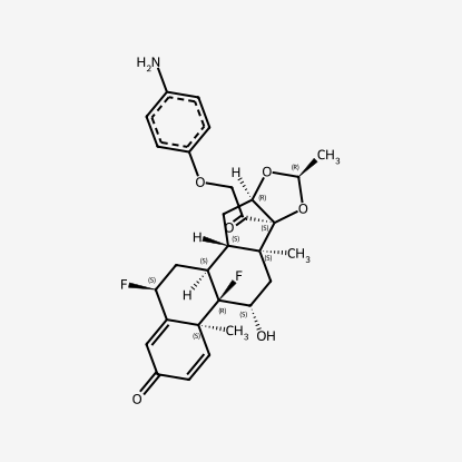 C[C@@H]1O[C@@H]2C[C@H]3[C@@H]4C[C@H](F)C5=CC(=O)C=C[C@]5(C)[C@@]4(F)[C@@H](O)C[C@]3(C)[C@]2(C(=O)COc2ccc(N)cc2)O1